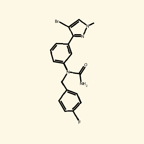 Cn1cc(Br)c(-c2cccc(N(Cc3ccc(F)cc3)C(N)=O)c2)n1